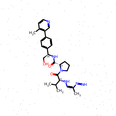 C/C(=C/N[C@H](C(=O)N1CCC[C@H]1C(=O)N[C@@H](CO)c1ccc(-c2cnccc2C)cc1)C(C)C)N=N